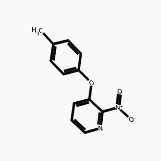 Cc1ccc(Oc2cccnc2[N+](=O)[O-])cc1